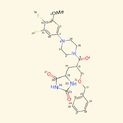 COc1cc(N2CCN(C(=O)C(COCc3ccccc3)CC3NC(=O)NC3=O)CC2)cc(F)c1F